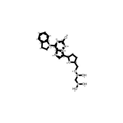 OP(O)CP(O)OCC1CCC(c2cnc3c(N4CCc5ccccc54)nc(Cl)nn23)O1